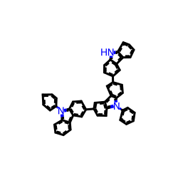 c1ccc(-n2c3ccccc3c3cc(-c4ccc5c(c4)c4cc(-c6ccc7[nH]c8ccccc8c7c6)ccc4n5-c4ccccc4)ccc32)cc1